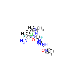 Cc1c(F)c(N)cc(C(=O)Nc2cc(-n3cc(NCCC(=O)N(C)C)nn3)c(F)cc2N2C[C@@H](C)N(C)[C@@H](C)C2)c1Cl